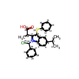 CC(C)c1ccc2c(c1)c(Sc1ccccc1)c(C(C)C(=O)O)n2C(Cl)c1ccccc1